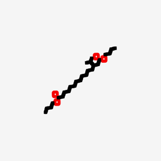 CCCCOC(=O)CCCCCCCCCCCC(CC(=O)OCCCC)C(C)C